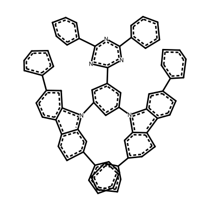 c1ccc(-c2ccc3c4ccc(-c5ccccc5)cc4n(-c4cc(-c5nc(-c6ccccc6)nc(-c6ccccc6)n5)cc(-n5c6cc(-c7ccccc7)ccc6c6ccc(-c7ccccc7)cc65)c4)c3c2)cc1